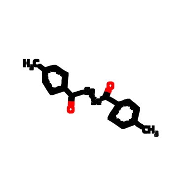 Cc1ccc(C(=O)[Se][Se]C(=O)c2ccc(C)cc2)cc1